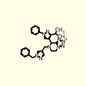 CC(C)c1nn(-c2ccccc2)cc1C1c2nnnn2CCN1Cc1cnn(Cc2ccccc2)c1